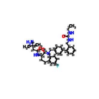 CCNC(=O)NCc1ccccc1-c1ccc(CN2C(=O)[C@H](NC(=O)CC(C)(C)N)CCc3cc(F)ccc32)cc1